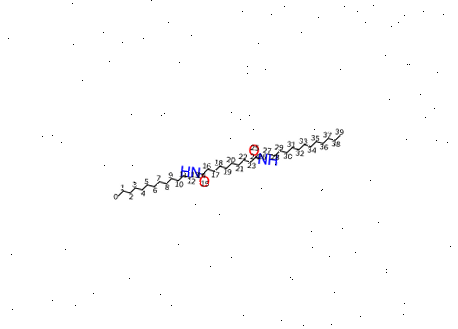 CCCCCCCCCCCCCNC(=O)CCCCCCCCC(=O)NCCCCCCCCCCCCC